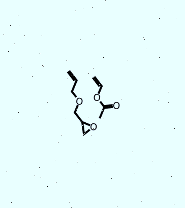 C=CCOCC1CO1.C=COC(C)=O